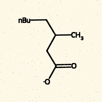 CCCCCC(C)CC([O])=O